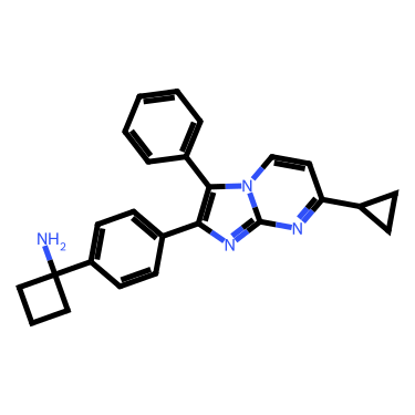 NC1(c2ccc(-c3nc4nc(C5CC5)ccn4c3-c3ccccc3)cc2)CCC1